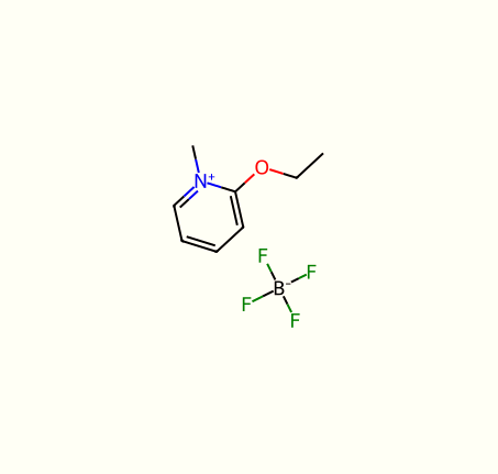 CCOc1cccc[n+]1C.F[B-](F)(F)F